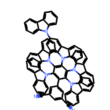 N#Cc1cc(C#N)cc(-c2c(-n3c4ccccc4c4ccccc43)c(-n3c4ccccc4c4ccccc43)c(-n3c4ccccc4c4cc(-n5c6ccccc6c6ccccc65)ccc43)c(-n3c4ccccc4c4ccccc43)c2-n2c3ccccc3c3ccccc32)c1